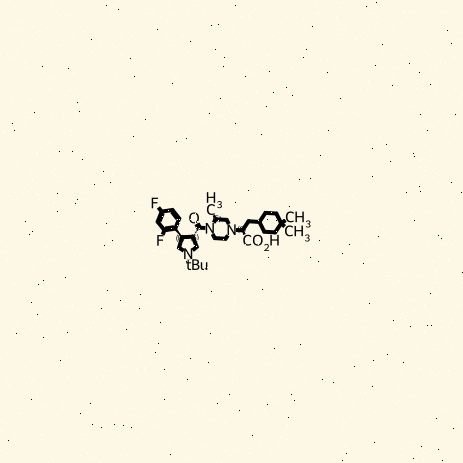 C[C@H]1CN([C@@H](CC2CCC(C)(C)CC2)C(=O)O)CCN1C(=O)[C@@H]1CN(C(C)(C)C)C[C@H]1c1ccc(F)cc1F